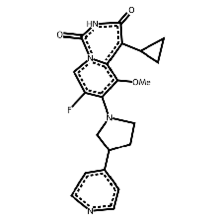 COc1c(N2CCC(c3ccncc3)C2)c(F)cn2c(=O)[nH]c(=O)c(C3CC3)c12